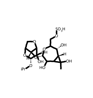 CC(C)O[C@@H]1OC2COC([C@@H]2O[C@@H]2OC(COS(=O)(=O)O)[C@H](O)[C@H]3C(C2O)C3(C)O)C1(O)O